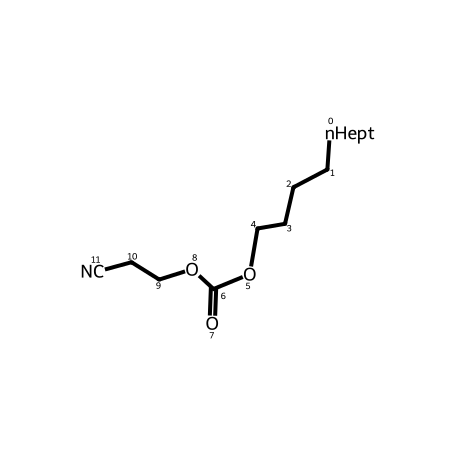 CCCCCCCCCCCOC(=O)OCCC#N